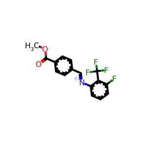 COC(=O)c1ccc(/C=N/c2cccc(F)c2C(F)(F)F)cc1